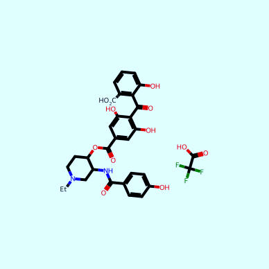 CCN1CCC(OC(=O)c2cc(O)c(C(=O)c3c(O)cccc3C(=O)O)c(O)c2)C(NC(=O)c2ccc(O)cc2)C1.O=C(O)C(F)(F)F